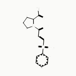 NC(=O)C1CCCN1C(=O)/C=C/S(=O)(=O)c1ccccc1